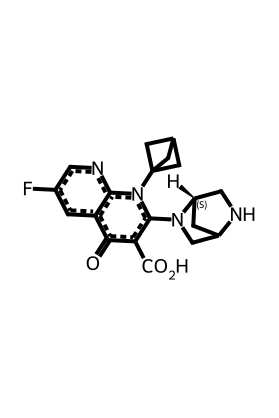 O=C(O)c1c(N2CC3C[C@H]2CN3)n(C23CC(C2)C3)c2ncc(F)cc2c1=O